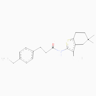 CNCc1ccc(CCC(=O)Nc2sc3c(c2C(=O)O)CC(C)(C)CC3)cc1